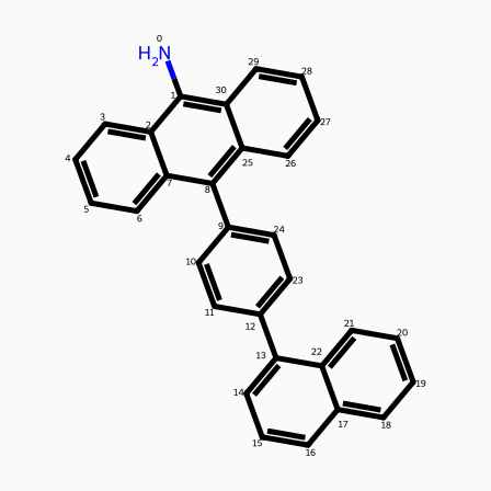 Nc1c2ccccc2c(-c2ccc(-c3cccc4ccccc34)cc2)c2ccccc12